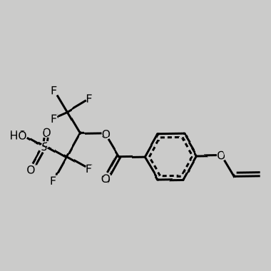 C=COc1ccc(C(=O)OC(C(F)(F)F)C(F)(F)S(=O)(=O)O)cc1